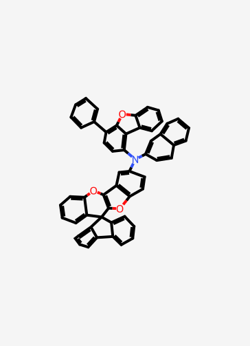 c1ccc(-c2ccc(N(c3ccc4ccccc4c3)c3ccc4oc5c(c4c3)Oc3ccccc3C53c4ccccc4-c4ccccc43)c3c2oc2ccccc23)cc1